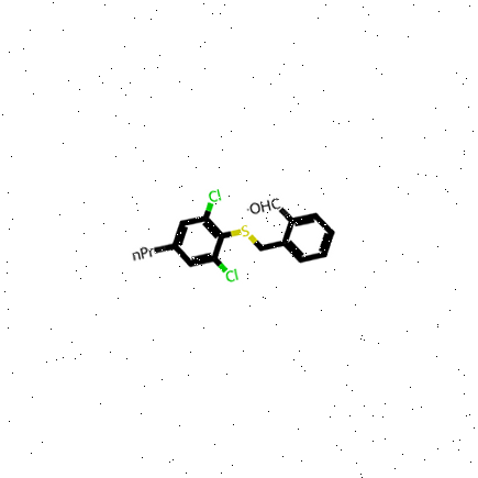 CCCc1cc(Cl)c(SCc2ccccc2[C]=O)c(Cl)c1